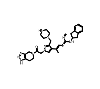 C=N/C(=N\C=C(/C)c1cn(CC(=O)N2CCc3[nH]nnc3C2)nc1CN1CCNCC1)NC1Cc2ccccc2C1